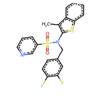 Cc1c(N(Cc2ccc(F)c(F)c2)S(=O)(=O)c2cccnc2)sc2ccccc12